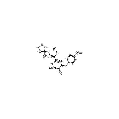 CNC(=O)C(Cc1ccc(OC)cc1)NC(=O)/C(=C/CC1(C)OCCO1)CC(C)C